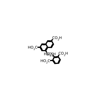 O=C(O)c1ccc2c(S(=O)(=O)O)cc(C(=O)O)cc2c1.O=C(O)c1cccc(C(=O)O)c1S(=O)(=O)O